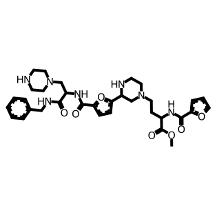 COC(=O)C(CCN1CCNC(c2ccc(C(=O)NC(CN3CCNCC3)C(=O)NCc3ccccc3)o2)C1)NC(=O)c1ccco1